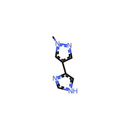 Cn1cc(-c2c[nH]cn2)cn1